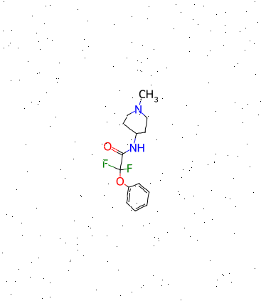 CN1CCC(NC(=O)C(F)(F)Oc2ccccc2)CC1